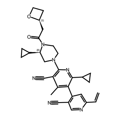 C=Cc1cc(-c2c(C3CC3)nc(N3CCN(C(=O)C[C@@H]4CCO4)[C@H](C4CC4)C3)c(C#N)c2C)c(C#N)cn1